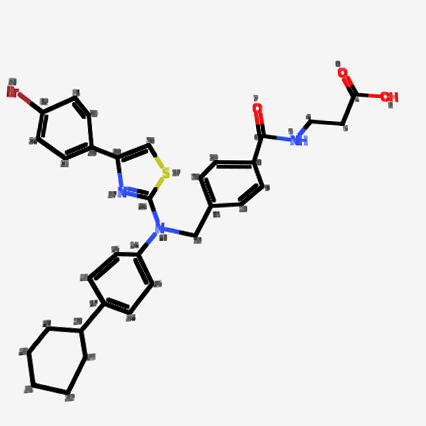 O=C(O)CCNC(=O)c1ccc(CN(c2ccc(C3CCCCC3)cc2)c2nc(-c3ccc(Br)cc3)cs2)cc1